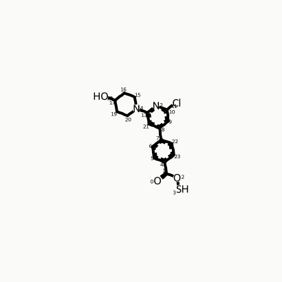 O=C(OS)c1ccc(-c2cc(Cl)nc(N3CCC(O)CC3)c2)cc1